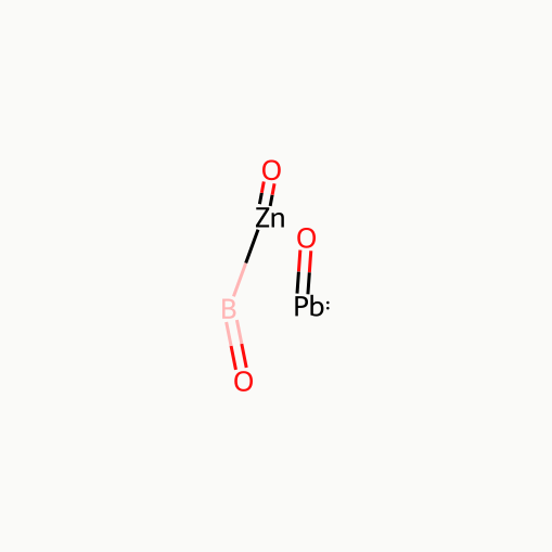 O=[B][Zn]=[O].[O]=[Pb]